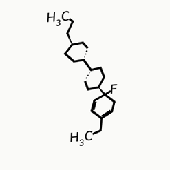 CCC[C@H]1CC[C@H]([C@H]2CC[C@H](C3(F)C=CC(CC)=CC3)CC2)CC1